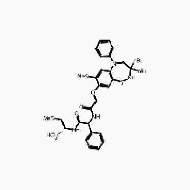 CCCCC1(CCCC)CN(c2ccccc2)c2cc(SC)c(OCC(=O)NC(C(=O)N[C@@H](CSC)C(=O)O)c3ccccc3)cc2SN1